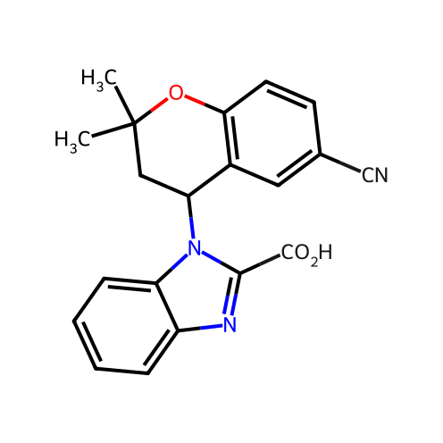 CC1(C)CC(n2c(C(=O)O)nc3ccccc32)c2cc(C#N)ccc2O1